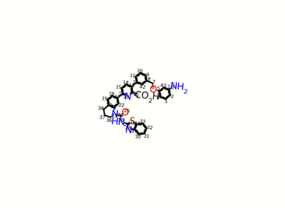 Nc1cccc(OCc2cccc(-c3ccc(-c4ccc5c(c4)N(C(=O)Nc4nc6ccccc6s4)CCC5)nc3C(=O)O)c2)c1